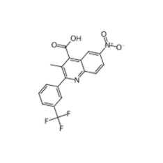 Cc1c(-c2cccc(C(F)(F)F)c2)nc2ccc([N+](=O)[O-])cc2c1C(=O)O